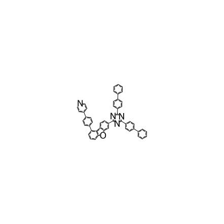 c1ccc(-c2ccc(-c3nc(-c4ccc(-c5ccccc5)cc4)nc(-c4ccc5c(c4)oc4cccc(-c6ccc(-c7ccncc7)cc6)c45)n3)cc2)cc1